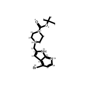 CC(C)(C)OC(=O)N1CCN(Cc2cc3c(Br)ccnc3[nH]2)CC1